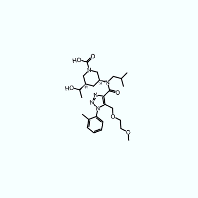 COCCOCc1c(C(=O)N(CC(C)C)[C@H]2C[C@@H](C(C)O)CN(C(=O)O)C2)nnn1-c1ccccc1C